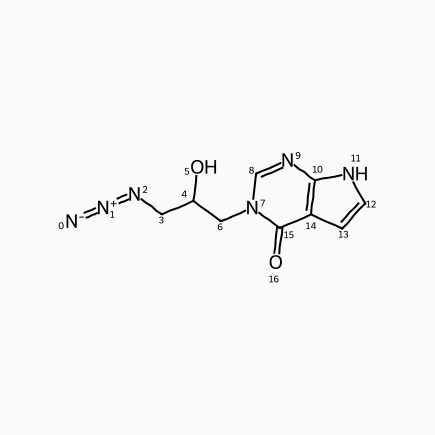 [N-]=[N+]=NCC(O)Cn1cnc2[nH]ccc2c1=O